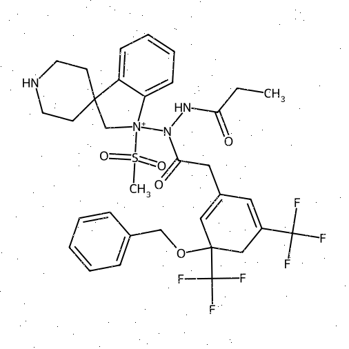 CCC(=O)NN(C(=O)CC1=CC(OCc2ccccc2)(C(F)(F)F)CC(C(F)(F)F)=C1)[N+]1(S(C)(=O)=O)CC2(CCNCC2)c2ccccc21